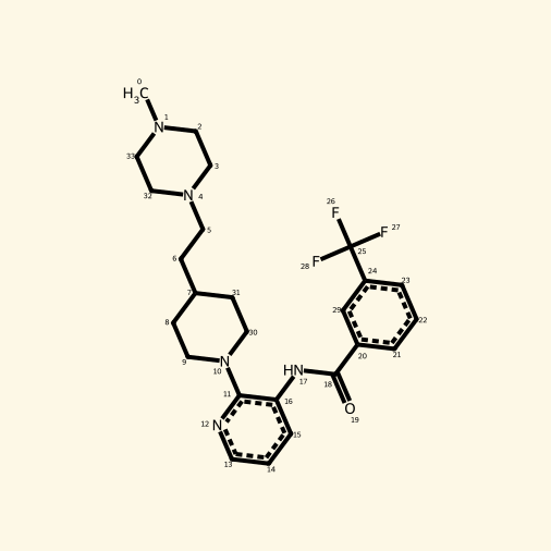 CN1CCN(CCC2CCN(c3ncccc3NC(=O)c3cccc(C(F)(F)F)c3)CC2)CC1